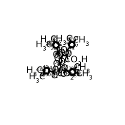 Cc1ccc(C(=O)OC(C(=O)O)C(OC(=O)c2ccc(C)c(C)c2)C(=O)OC(=O)C(OC(=O)c2ccc(C)c(C)c2)C(OC(=O)c2ccc(C)c(C)c2)C(=O)O)cc1C